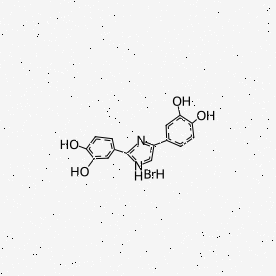 Br.Oc1ccc(-c2c[nH]c(-c3ccc(O)c(O)c3)n2)cc1O